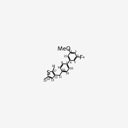 COc1cc(F)cc(-c2ccc(Cc3cc(C)sc3C)cc2)c1